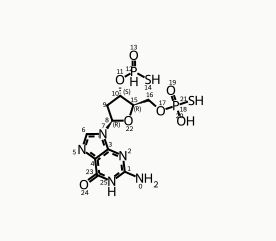 Nc1nc2c(ncn2[C@H]2C[C@H](O[PH](=O)S)[C@@H](COP(=O)(O)S)O2)c(=O)[nH]1